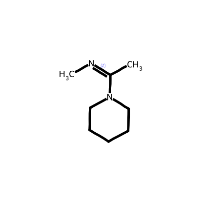 C/N=C(/C)N1CCCCC1